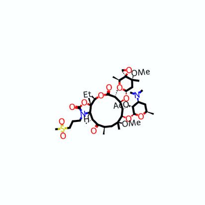 CC[C@H]1OC(=O)[C@H](C)[C@@H](O[C@H]2C[C@@](C)(OC)[C@@]3(CO3)[C@H](C)O2)[C@H](C)[C@@H](O[C@@H]2O[C@H](C)C[C@H](N(C)C)[C@H]2OC(C)=O)[C@@](C)(OC)C[C@@H](C)C(=O)[C@H](C)[C@H]2N(CCCS(C)(=O)=O)C(=O)O[C@]12C